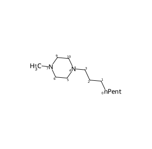 [CH2]CCCCCCCN1CCN(C)CC1